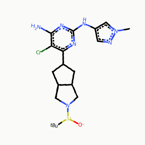 Cn1cc(Nc2nc(N)c(Cl)c(C3CC4CN([S+]([O-])C(C)(C)C)CC4C3)n2)cn1